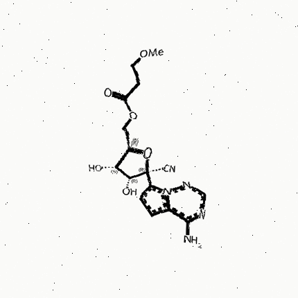 COCCC(=O)OC[C@H]1O[C@@](C#N)(c2ccc3c(N)ncnn23)[C@H](O)[C@@H]1O